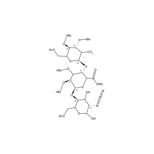 CCCCOC1[C@H](O[C@H]2OC(COC(C)=O)[C@@H](OCCCC)[C@H](OCCCC)C2C)C(C(=O)OC)O[C@@H](O[C@@H]2C(COC(C)=O)OC(O)[C@@H](N=[N+]=[N-])C2O)[C@H]1OCCCC